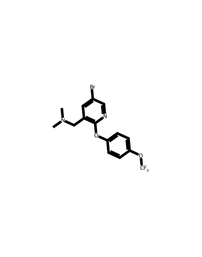 CN(C)Cc1cc(Br)cnc1Oc1ccc(OC(F)(F)F)cc1